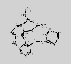 CNC(=O)c1ncc2[nH]c3cccc(OCc4ccccn4)c3c2c1COC